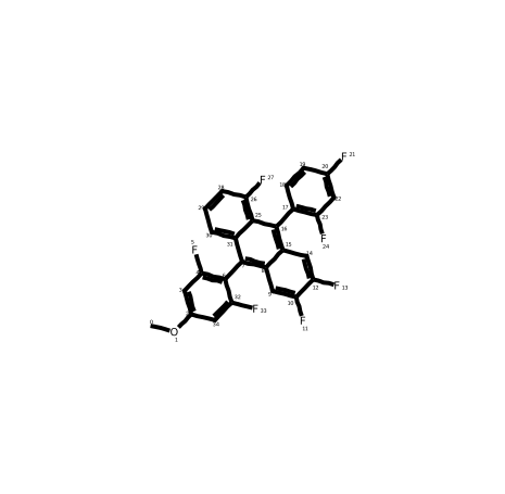 COc1cc(F)c(-c2c3cc(F)c(F)cc3c(-c3ccc(F)cc3F)c3c(F)cccc23)c(F)c1